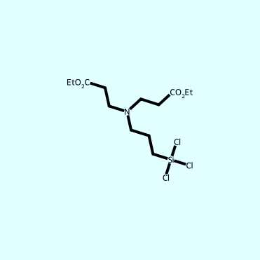 CCOC(=O)CCN(CCC[Si](Cl)(Cl)Cl)CCC(=O)OCC